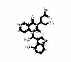 CCC(CC(=O)O)n1c(=O)c2cnccc2n(C(C)c2c[nH]c3cccc(C)c23)c1=O